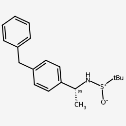 C[C@@H](N[S+]([O-])C(C)(C)C)c1ccc(Cc2ccccc2)cc1